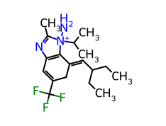 CCC(C=C1CC(C(F)(F)F)=CC2=C1[N+](N)(C(C)C)C(C)=N2)CC